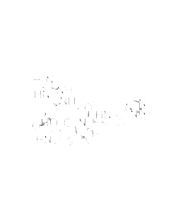 C[C@@H](NC(=O)Cn1cnnn1)[C@H]1C(=O)N2C(C(=O)O)=C(S[C@@H]3CN[C@H](C(=O)N4CC(NC(=N)N)[C@@H](N)C4)C3)[C@H](C)[C@H]12